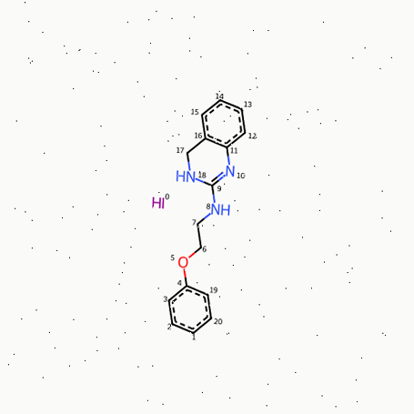 I.c1ccc(OCCNC2=Nc3ccccc3CN2)cc1